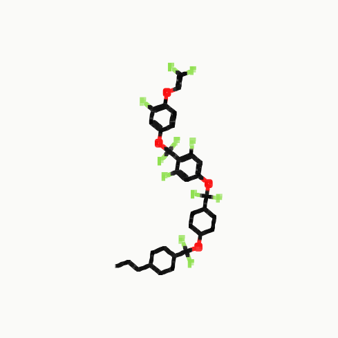 CCCC1CCC(C(F)(F)OC2CCC(C(F)(F)Oc3cc(F)c(C(F)(F)Oc4ccc(OC=C(F)F)c(F)c4)c(F)c3)CC2)CC1